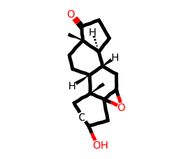 C[C@]12CC[C@@H]3[C@@H](CC4OC45CC(O)CC[C@]35C)[C@@H]1CCC2=O